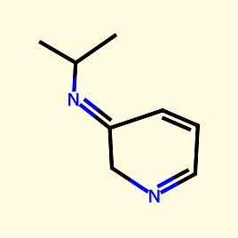 CC(C)N=C1C=CC=NC1